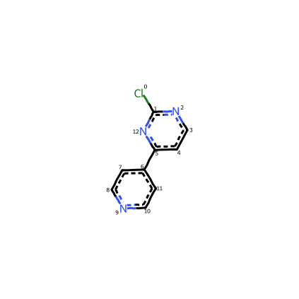 Clc1nccc(-c2ccncc2)n1